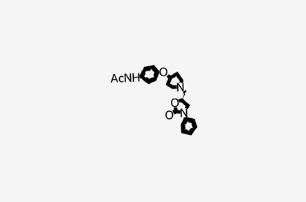 CC(=O)Nc1ccc(OC2CCN(C[C@@H]3CN(c4ccccc4)C(=O)O3)CC2)cc1